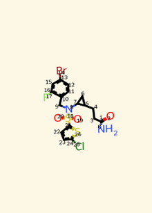 NC(=O)CCC1CC1N(Cc1ccc(Br)cc1F)S(=O)(=O)c1ccc(Cl)s1